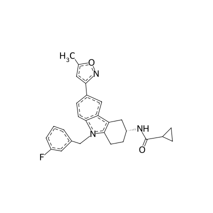 Cc1cc(-c2ccc3c(c2)c2c(n3Cc3cccc(F)c3)CC[C@@H](NC(=O)C3CC3)C2)no1